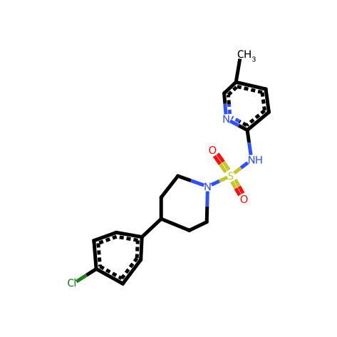 Cc1ccc(NS(=O)(=O)N2CCC(c3ccc(Cl)cc3)CC2)nc1